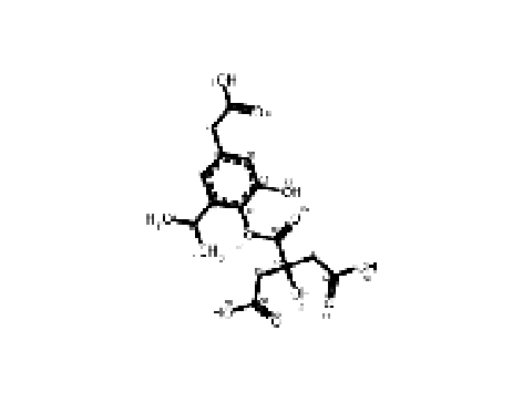 CC(C)c1cc(CC(=O)O)cc(O)c1OC(=O)C(O)(CC(=O)O)CC(=O)O